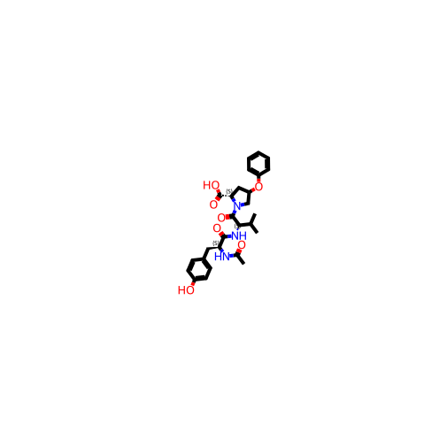 CC(=O)N[C@@H](Cc1ccc(O)cc1)C(=O)N[C@H](C(=O)N1CC(Oc2ccccc2)C[C@H]1C(=O)O)C(C)C